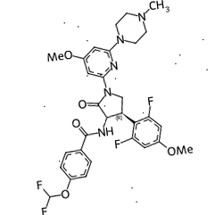 COc1cc(N2CCN(C)CC2)nc(N2C[C@@H](c3c(F)cc(OC)cc3F)C(NC(=O)c3ccc(OC(F)F)cc3)C2=O)c1